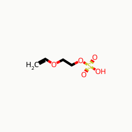 C=COCCOS(=O)(=O)O